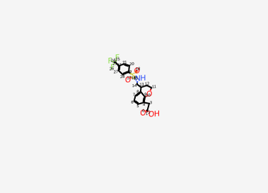 O=C(O)Cc1cccc2c1OCCC2CNS(=O)(=O)c1ccc(C(F)(F)F)cc1